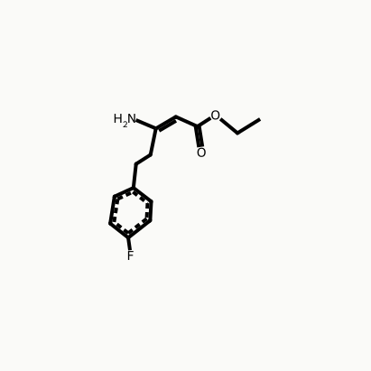 CCOC(=O)/C=C(/N)CCc1ccc(F)cc1